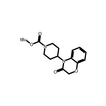 CC(C)(C)OC(=O)N1CCC(N2C(=O)COc3ccccc32)CC1